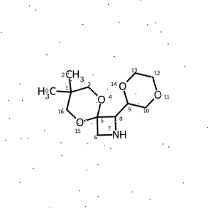 CC1(C)COC2(CNC2C2COCCO2)OC1